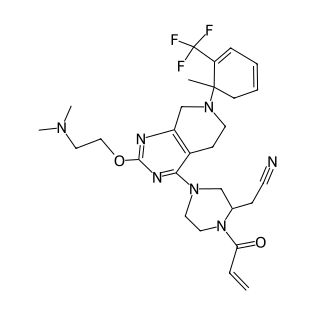 C=CC(=O)N1CCN(c2nc(OCCN(C)C)nc3c2CCN(C2(C)CC=CC=C2C(F)(F)F)C3)CC1CC#N